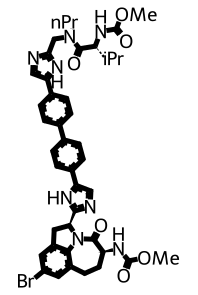 CCCN(Cc1ncc(-c2ccc(-c3ccc(-c4cnc([C@@H]5Cc6cc(Br)cc7c6N5C(=O)[C@@H](NC(=O)OC)CC7)[nH]4)cc3)cc2)[nH]1)C(=O)[C@H](NC(=O)OC)C(C)C